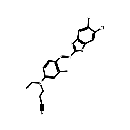 CCN(CCC#N)c1ccc(N=Nc2nc3cc(Cl)c(Cl)cc3s2)c(C)c1